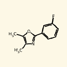 Cc1nc(-c2cccc(F)c2)oc1C